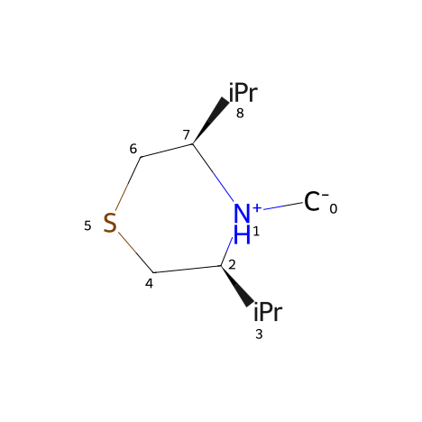 [CH2-][NH+]1[C@@H](C(C)C)CSC[C@H]1C(C)C